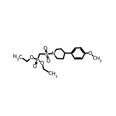 CCOP(=O)(CS(=O)(=O)N1CCC(c2ccc(OC)cc2)CC1)OCC